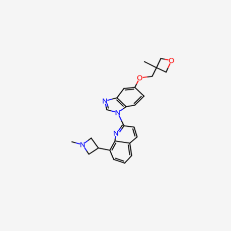 CN1CC(c2cccc3ccc(-n4cnc5cc(OCC6(C)COC6)ccc54)nc23)C1